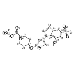 CC(C)(C)OC(=O)N1CCC(Oc2nc(-n3ccc4cc(S(C)(=O)=O)cc(F)c43)cs2)CC1